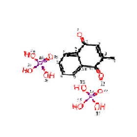 CC1=CC(=O)c2ccccc2C1=O.O=P(O)(O)O.O=P(O)(O)O